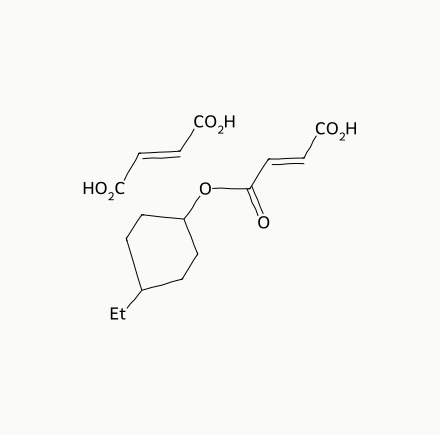 CCC1CCC(OC(=O)/C=C/C(=O)O)CC1.O=C(O)/C=C/C(=O)O